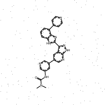 CN(C)C(=O)Nc1cncc(-c2cnc3[nH]nc(-c4nc5c(-c6ccncc6)cccc5[nH]4)c3c2)c1